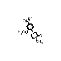 COc1cc([N+](=O)[O-])ccc1N1CCN(C)C(=O)C1